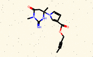 CC#CCOC(=O)c1ccn(C2(C)CC(=O)N(C)C(=N)N2)c1